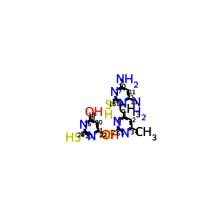 Cc1cc(C)nc(S)n1.Nc1cc(N)nc(S)n1.Oc1cc(O)nc(S)n1